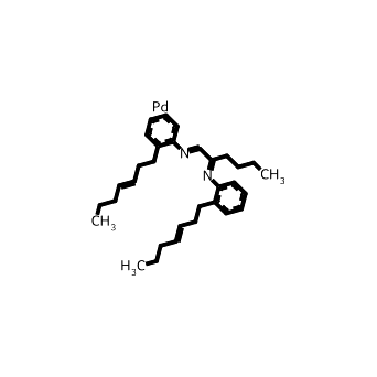 CCCC=CCCc1ccccc1N=CC(CCCC)=Nc1ccccc1CCC=CCCC.[Pd]